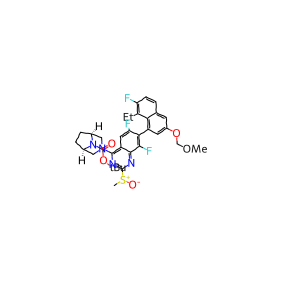 CCc1c(F)ccc2cc(OCOC)cc(-c3c(F)cc4c(N5C[C@H]6CC[C@@H](C5)N6C(=O)OC(C)(C)C)nc([S+](C)[O-])nc4c3F)c12